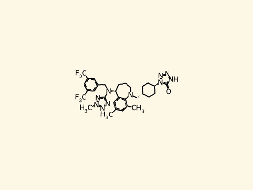 Cc1cc(C)c2c(c1)[C@@H](N(Cc1cc(C(F)(F)F)cc(C(F)(F)F)c1)c1nnn(C)n1)CCCN2C[C@H]1CC[C@H](n2nn[nH]c2=O)CC1